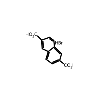 Br.O=C(O)c1ccc2cc(C(=O)O)ccc2c1